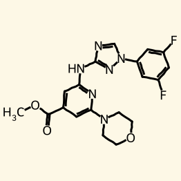 COC(=O)c1cc(Nc2ncn(-c3cc(F)cc(F)c3)n2)nc(N2CCOCC2)c1